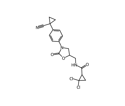 N#CC1(c2ccc(N3CC(CNC(=O)C4CC4(Cl)Cl)OC3=O)cc2)CC1